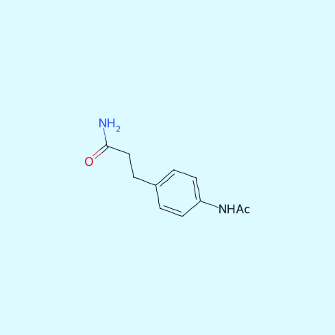 CC(=O)Nc1ccc(CCC(N)=O)cc1